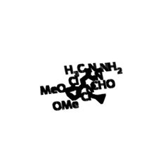 COc1cc(OC)c(Cl)c(/C(=C/c2cnc(N)nc2C)N(C=O)CC2CC2)c1Cl